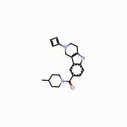 CC1CCN(C(=O)c2ccc3c(c2)C2=C(CCN(C4=CC=C4)C2)[N]3)CC1